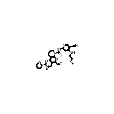 CSCCNc1cc(NC(=O)N2CCCc3cc(CN(C)C(=O)[C@@H]4CCCO4)c(C=O)nc32)ncc1C#N